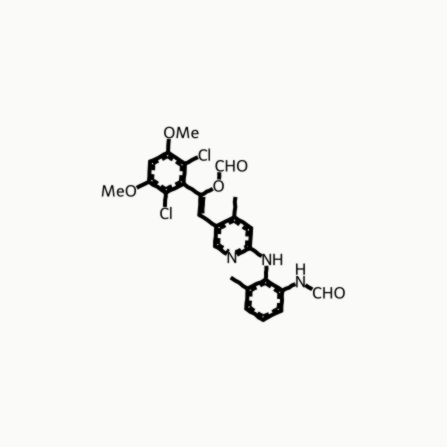 COc1cc(OC)c(Cl)c(/C(=C/c2cnc(Nc3c(C)cccc3NC=O)cc2C)OC=O)c1Cl